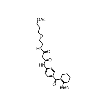 CNC1=C(C(=O)c2ccc(NC(=O)CC(=O)NCCOCCCOC(C)=O)cc2)CCCC1